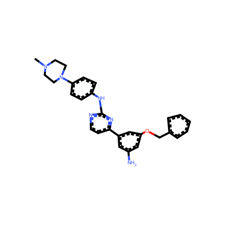 CN1CCN(c2ccc(Nc3nccc(-c4cc(N)cc(OCc5ccccc5)c4)n3)cc2)CC1